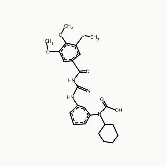 COc1cc(C(=O)NC(=S)Nc2cccc(N(C(=O)O)C3CCCCC3)c2)cc(OC)c1OC